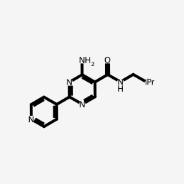 CC(C)CNC(=O)c1cnc(-c2ccncc2)nc1N